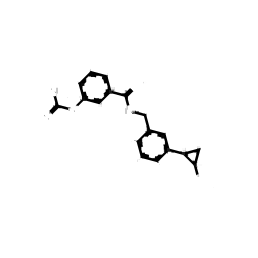 N=C(N)Nc1cccc(C(=O)NCc2cccc(C3CC3C(=O)O)c2)c1